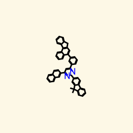 CC1(C)c2ccccc2-c2ccc(-c3nc(-c4cccc(-c5cc6c(c7ccccc57)-c5ccccc5C6)c4)cc(-c4ccc5ccccc5c4)n3)cc21